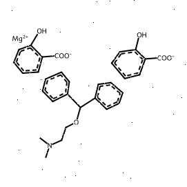 CN(C)CCOC(c1ccccc1)c1ccccc1.O=C([O-])c1ccccc1O.O=C([O-])c1ccccc1O.[Mg+2]